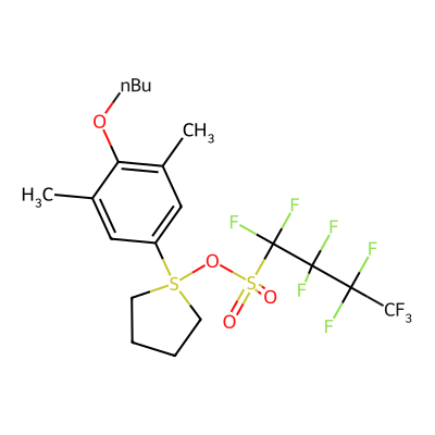 CCCCOc1c(C)cc(S2(OS(=O)(=O)C(F)(F)C(F)(F)C(F)(F)C(F)(F)F)CCCC2)cc1C